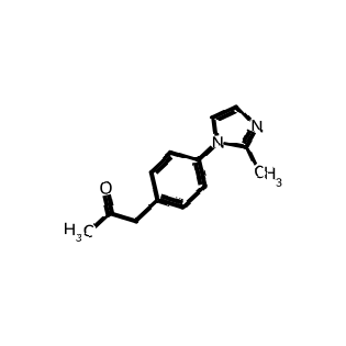 CC(=O)Cc1ccc(-n2ccnc2C)cc1